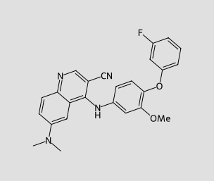 COc1cc(Nc2c(C#N)cnc3ccc(N(C)C)cc23)ccc1Oc1cccc(F)c1